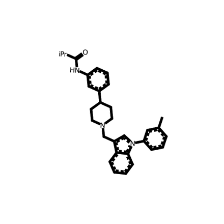 Cc1cccc(-n2cc(CN3CCC(c4cccc(NC(=O)C(C)C)c4)CC3)c3ccccc32)c1